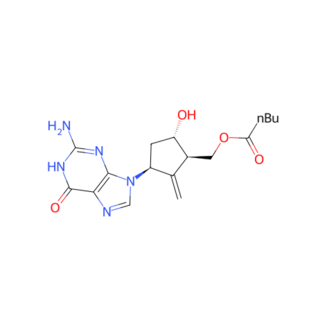 C=C1[C@H](COC(=O)CCCC)[C@@H](O)C[C@@H]1n1cnc2c(=O)[nH]c(N)nc21